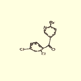 O=C(c1ccc(Br)nc1)c1ccc(Cl)cc1Cl